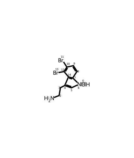 Cl.NCCc1c[nH]c2ccc(Br)c(Br)c12